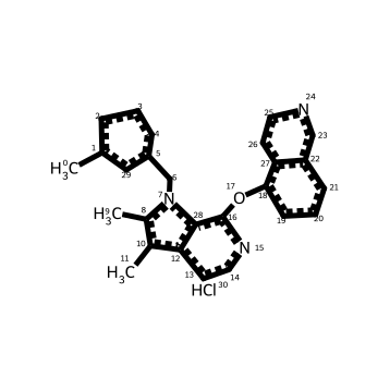 Cc1cccc(Cn2c(C)c(C)c3ccnc(Oc4cccc5cnccc45)c32)c1.Cl